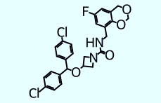 O=C(NCc1cc(F)cc2c1OCOC2)N1CC(OC(c2ccc(Cl)cc2)c2ccc(Cl)cc2)C1